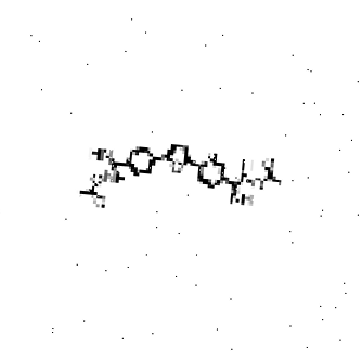 CC(=O)ONC(=N)c1ccc(-c2ccc(-c3ccc(C(=N)NOC(C)=O)cn3)o2)cc1